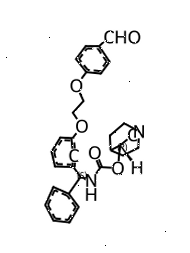 O=Cc1ccc(OCCOc2cccc([C@@H](NC(=O)O[C@H]3CN4CCC3CC4)c3ccccc3)c2)cc1